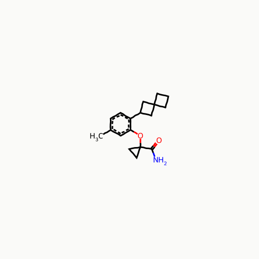 Cc1ccc(C2CC3(CCC3)C2)c(OC2(C(N)=O)CC2)c1